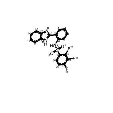 O=S(=O)(Nc1ccccc1-c1nc2ccccc2[nH]1)c1ccc(F)c(F)c1F